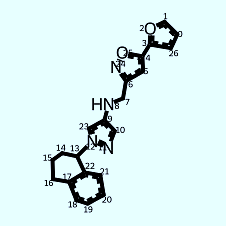 c1coc(-c2cc(CNc3cnn(C4CCCc5ccccc54)c3)no2)c1